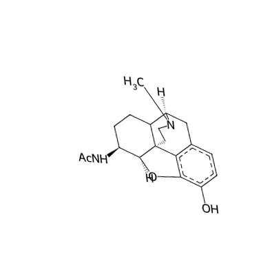 CC(=O)N[C@H]1CCC2[C@H]3Cc4ccc(O)c5c4[C@@]2(CCN3C)[C@H]1O5